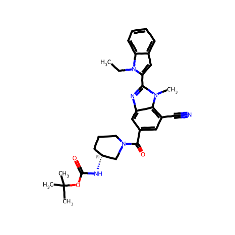 CCn1c(-c2nc3cc(C(=O)N4CCC[C@@H](NC(=O)OC(C)(C)C)C4)cc(C#N)c3n2C)cc2ccccc21